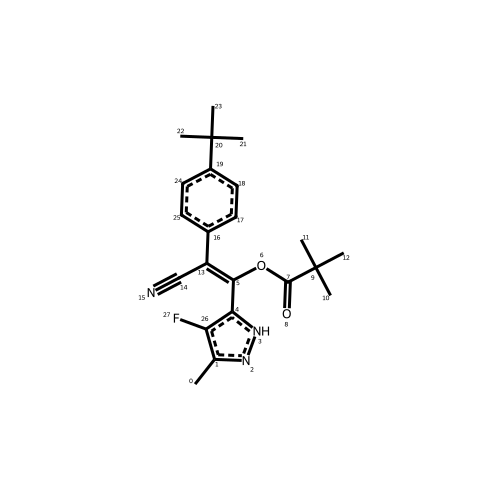 Cc1n[nH]c(C(OC(=O)C(C)(C)C)=C(C#N)c2ccc(C(C)(C)C)cc2)c1F